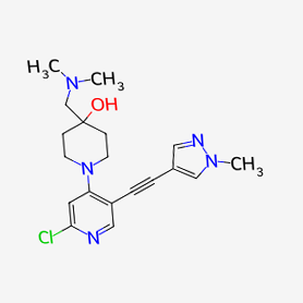 CN(C)CC1(O)CCN(c2cc(Cl)ncc2C#Cc2cnn(C)c2)CC1